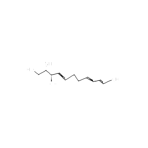 C/C=C/C=C/CC/C=C/[C@@H](O)[C@@H](N)CO